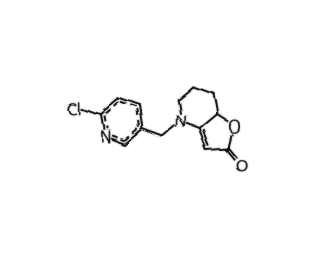 O=C1C=C2C(CCCN2Cc2ccc(Cl)nc2)O1